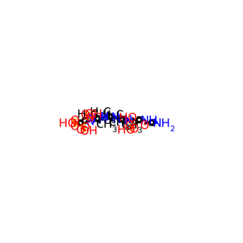 Cc1cc(N=Nc2cc(C)c(N=Nc3c(S(=O)(=O)O)cc4cc(NC(=O)c5ccc(N)cc5)ccc4c3O)cc2C)c(C)cc1N=Nc1cc(C)c(N=Nc2cc3c(S(=O)(=O)O)cc(S(=O)(=O)O)cc3cc2S(=O)(=O)O)cc1C